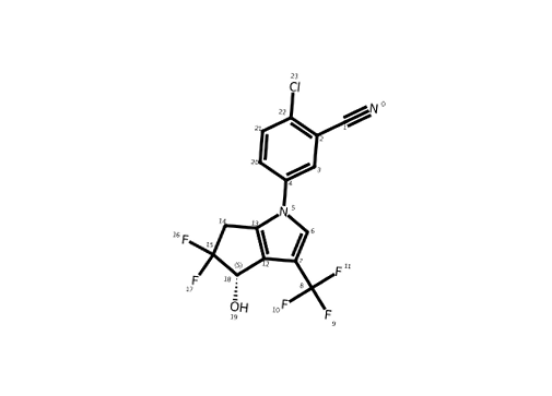 N#Cc1cc(-n2cc(C(F)(F)F)c3c2CC(F)(F)[C@H]3O)ccc1Cl